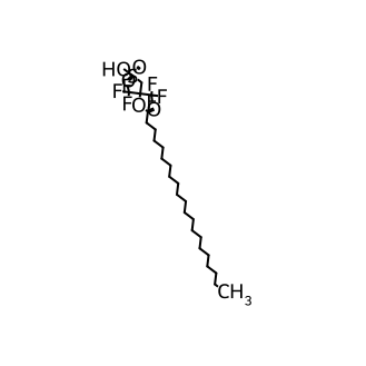 CCCCCCCCCCCCCCCCCCCCC(=O)OC(CS(=O)(=O)O)(C(F)(F)F)C(F)(F)F